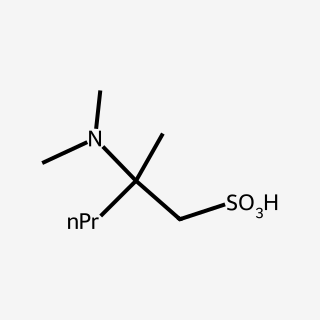 CCCC(C)(CS(=O)(=O)O)N(C)C